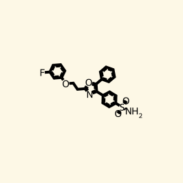 NS(=O)(=O)c1ccc(-c2nc(CCOc3cccc(F)c3)oc2-c2ccccc2)cc1